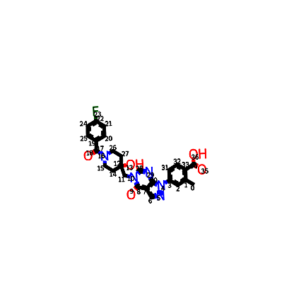 Cc1cc(-n2ncc3c(=O)n(CC4(O)CCN(C(=O)c5ccc(F)cc5)CC4)cnc32)ccc1C(=O)O